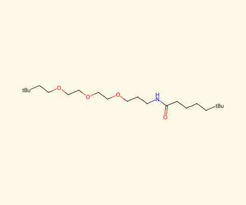 CC(C)(C)CCCCC(=O)NCCCOCCOCCOCCC(C)(C)C